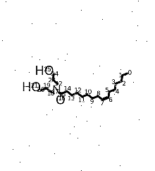 CCCCCC/C=C\CCCCCCCC(=O)N(CCCO)CCCO